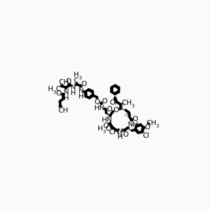 C#CCCC(=O)N[C@H](C(=O)N[C@@H](C)C(=O)Nc1ccc(COC(=O)NCC[C@@H]2NC(=O)C(C)(C)CNC(=O)[C@@H](Cc3ccc(OC)c(Cl)c3)NC(=O)/C=C/C[C@@H]([C@H](C)[C@H]3O[C@@H]3c3ccccc3)OC2=O)cc1)C(C)C